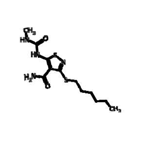 CCCCCCSc1nsc(NC(=O)NC)c1C(N)=O